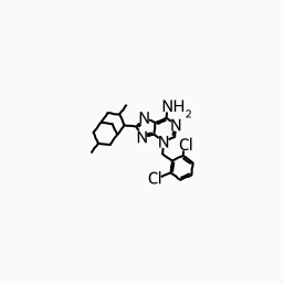 CC1CC2CC(C)C(c3nc4c(N)ncn(Cc5c(Cl)cccc5Cl)c-4n3)C(C1)C2